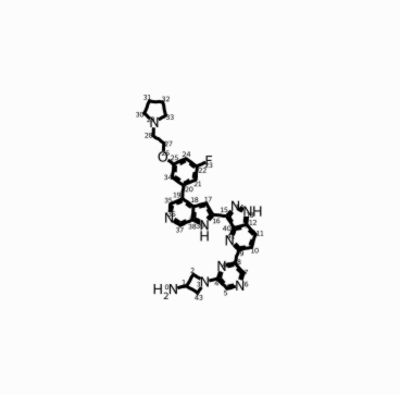 NC1CN(c2cncc(-c3ccc4[nH]nc(-c5cc6c(-c7cc(F)cc(OCCN8CCCC8)c7)cncc6[nH]5)c4n3)n2)C1